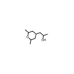 [CH2]C(O)CN1CC(C)OC(C)C1